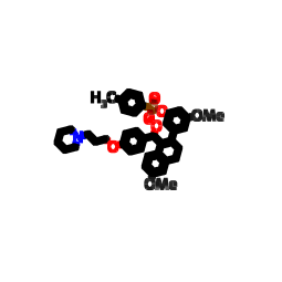 COc1cccc(C2=C(C(OOS(=O)(=O)c3ccc(C)cc3)c3ccc(OCCCN4CCCCC4)cc3)c3ccc(OC)cc3CC2)c1